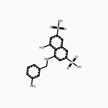 Nc1cccc(CNc2cc(S(=O)(=O)O)cc3cc(S(=O)(=O)O)cc(O)c23)c1